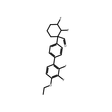 CCOc1ccc(-c2ccc(C3(C=O)CCCC(F)C3F)cc2)c(F)c1F